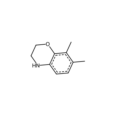 Cc1ccc2c(c1C)OCCN2